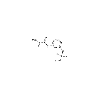 CON(C)C(=O)Nc1cccc(OC(F)(F)CF)c1